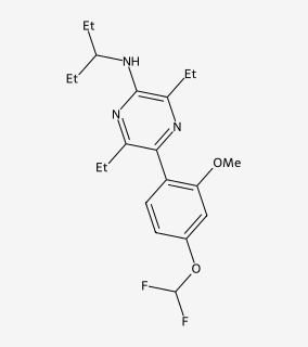 CCc1nc(-c2ccc(OC(F)F)cc2OC)c(CC)nc1NC(CC)CC